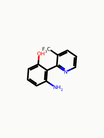 Nc1cccc(O)c1-c1ncccc1C(F)(F)F